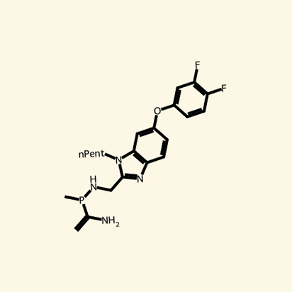 C=C(N)P(C)NCc1nc2ccc(Oc3ccc(F)c(F)c3)cc2n1CCCCC